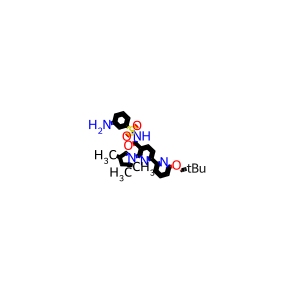 CC1CN(c2nc(-c3cccc(OCC(C)(C)C)n3)ccc2C(=O)NS(=O)(=O)c2cccc(N)c2)C(C)(C)C1